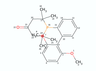 COc1cccc(OC)c1-c1ccccc1P1C(C)(C)CC(=O)CC1(C)C